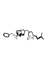 CC(C)=CCNCC(N)Cc1ccc(OCc2ccccc2)cc1